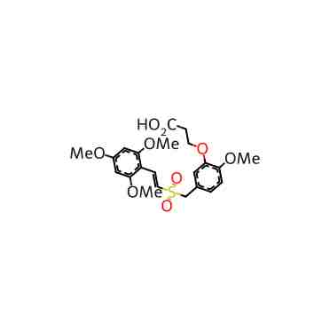 COc1cc(OC)c(/C=C/S(=O)(=O)Cc2ccc(OC)c(OCCC(=O)O)c2)c(OC)c1